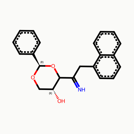 N=C(Cc1cccc2ccccc12)C1O[C@H](c2ccccc2)OC[C@H]1O